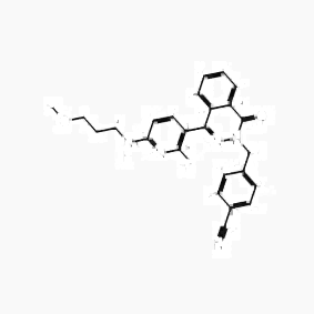 COCCCNc1ccc(-c2nn(Cc3ccc(C#N)cc3)c(=O)c3ccccc23)c(F)n1